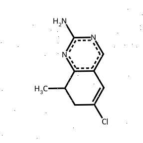 CC1CC(Cl)=Cc2cnc(N)nc21